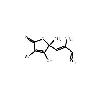 C=C/C(C)=C/[C@@]1(C)SC(=O)C(C(C)=O)=C1O